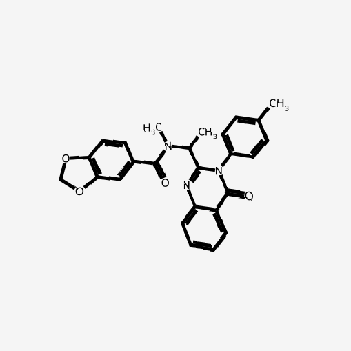 Cc1ccc(-n2c(C(C)N(C)C(=O)c3ccc4c(c3)OCO4)nc3ccccc3c2=O)cc1